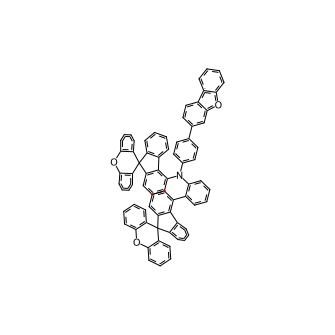 c1ccc2c(c1)Oc1ccccc1C21c2ccccc2-c2c(-c3ccccc3N(c3ccc(-c4ccc5c(c4)oc4ccccc45)cc3)c3cccc4c3-c3ccccc3C43c4ccccc4Oc4ccccc43)cccc21